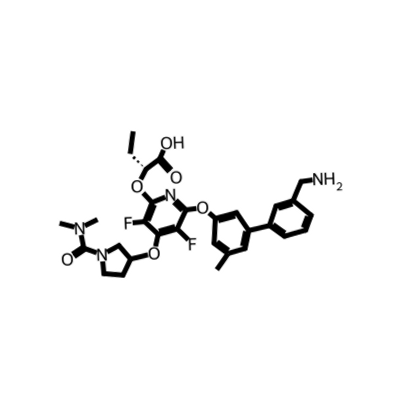 CC[C@@H](Oc1nc(Oc2cc(C)cc(-c3cccc(CN)c3)c2)c(F)c(OC2CCN(C(=O)N(C)C)C2)c1F)C(=O)O